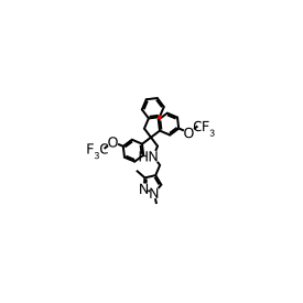 Cc1nn(C)cc1CNCC(Cc1ccccc1)(c1cccc(OC(F)(F)F)c1)c1cccc(OC(F)(F)F)c1